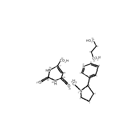 CN1CCCC1c1cccnc1.O=C(O)CCC(=O)O.O=C(O)c1cc(=O)[nH]c(=O)[nH]1